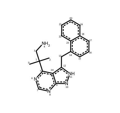 CC(C)(CN)c1ncnc2n[nH]c(Cc3cccc4ccccc34)c12